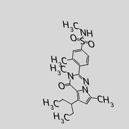 CCC(CC)c1cc(C)n2nc(-c3ccc(S(=O)(=O)NC)cc3C)n(C)c(=O)c12